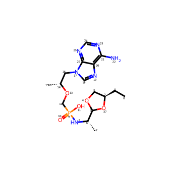 CC[C@@H]1COC([C@H](C)NP(=O)(O)CO[C@H](C)Cn2cnc3c(N)ncnc32)O1